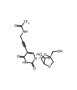 O=C(NCC#Cc1cn([C@@H]2O[C@]3(CO)COC2C3O)c(=O)[nH]c1=O)C(F)(F)F